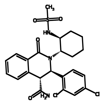 CS(=O)(=O)N[C@H]1CCCC[C@@H]1N1C(=O)c2ccccc2[C@@H](C(N)=O)[C@@H]1c1ccc(Cl)cc1Cl